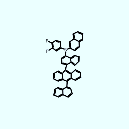 Fc1ccc(N(c2ccc3ccccc3c2)c2ccc(-c3c4ccccc4c(-c4cccc5ccccc45)c4ccccc34)c3ccccc23)cc1F